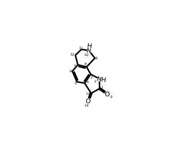 O=C1Nc2c(ccc3c2CNCC3)C1=O